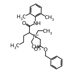 CCCC(C(=O)Nc1c(C)cccc1C)[N+](CC)(CC)CC(=O)OCc1ccccc1